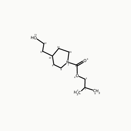 CC(C)COC(=O)N1CCC(CCO)CC1